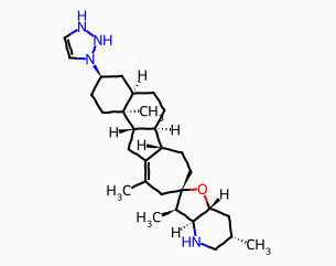 CC1=C2C[C@H]3[C@@H](CC[C@@H]4C[C@H](N5C=CNN5)CC[C@@]43C)[C@@H]2CC[C@@]2(C1)O[C@@H]1C[C@H](C)CN[C@H]1[C@H]2C